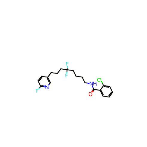 O=C(NCCCCC(F)(F)CCCc1ccc(F)nc1)c1ccccc1Cl